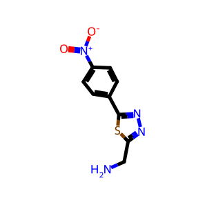 NCc1nnc(-c2ccc([N+](=O)[O-])cc2)s1